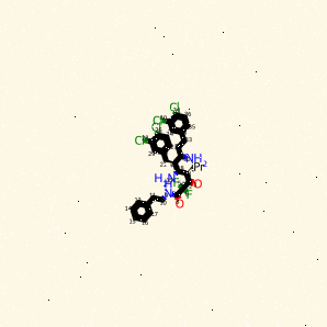 CC(C)[C@H](C(=O)C(F)(F)C(=O)NCCc1ccccc1)C(N)[C@@H](Cc1ccc(Cl)c(Cl)c1)C(N)CCc1ccc(Cl)c(Cl)c1